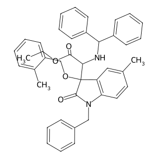 CCOC(=O)C(NC(c1ccccc1)c1ccccc1)C1(OCc2ccccc2C)C(=O)N(Cc2ccccc2)c2ccc(C)cc21